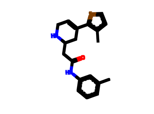 Cc1cccc(NC(=O)CC2CC(c3sccc3C)=CCN2)c1